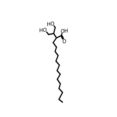 CCCCCCCCCCCCCCC(C(=O)O)C(CO)CO